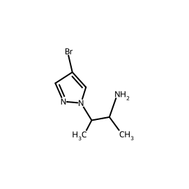 CC(N)C(C)n1cc(Br)cn1